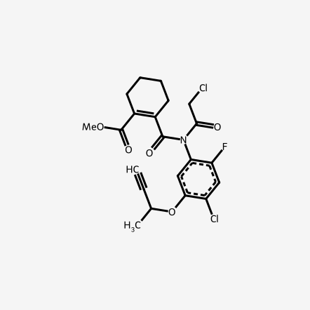 C#CC(C)Oc1cc(N(C(=O)CCl)C(=O)C2=C(C(=O)OC)CCCC2)c(F)cc1Cl